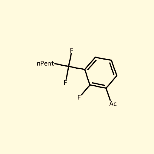 CCCCCC(F)(F)c1cccc(C(C)=O)c1F